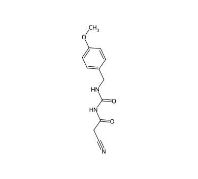 COc1ccc(CNC(=O)NC(=O)CC#N)cc1